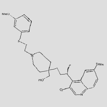 COc1cccc(SCCN2CCC(CO)(CC[C@@H](F)c3c(Cl)cnc4ccc(OC)cc34)CC2)c1